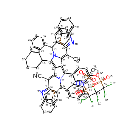 N#C/C(c1nc2ccccc2s1)=c1\c2c(C3CCCCC3)n(B(c3ccccc3)c3ccccc3)/c(=C(/C#N)c3nc4ccccc4s3)c2c(-c2ccc(OS(=O)(=O)C(F)(F)C(F)(F)C(F)(F)S(=O)(=O)NS(=O)(=O)C(F)(F)F)cc2)n1B(c1ccccc1)c1ccccc1